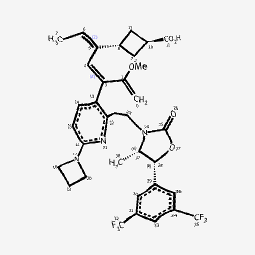 C=C(OC)/C(=C\C(=C/C)[C@H]1C[C@H](C(=O)O)C1)c1ccc(N2CCC2)nc1CN1C(=O)O[C@H](c2cc(C(F)(F)F)cc(C(F)(F)F)c2)[C@@H]1C